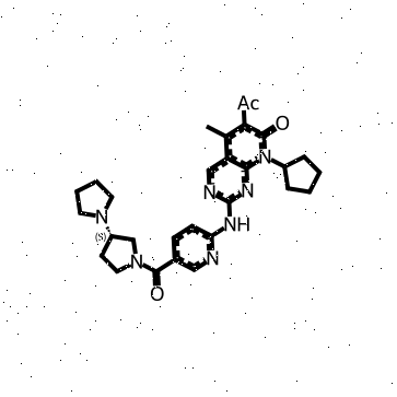 CC(=O)c1c(C)c2cnc(Nc3ccc(C(=O)N4CC[C@H](N5CCCC5)C4)cn3)nc2n(C2CCCC2)c1=O